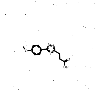 COc1ccc(-c2nnc(CCC(=O)O)s2)cc1